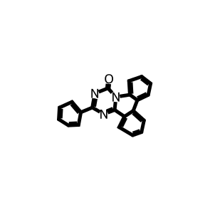 O=c1nc(-c2ccccc2)nc2c3ccccc3c3ccccc3n12